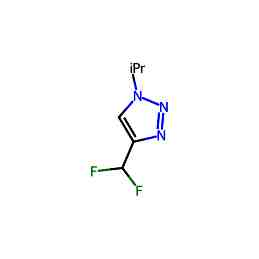 CC(C)n1cc(C(F)F)nn1